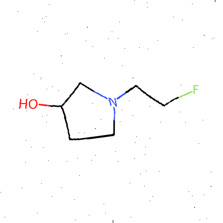 OC1CCN(CCF)C1